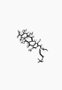 CN(CCC(C)(C)C)Cc1cc(O)c2c(c1Cl)CC1C[C@H]3CC(O)=C(C(N)=O)C(=O)[C@@]3(O)C(O)=C1C2=O